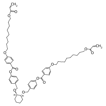 C=CC(=O)OCCCCCCCCCOc1ccc(C(=O)Oc2ccc(CO[C@@H]3CCCC[C@H]3OCc3ccc(OC(=O)c4ccc(OCCCCCCCCCOC(=O)C=C)cc4)cc3)cc2)cc1